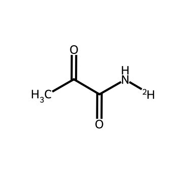 [2H]NC(=O)C(C)=O